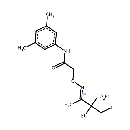 CCOC(=O)C(CC)(CI)/C(C)=N/OCC(=O)Nc1cc(C)cc(C)c1